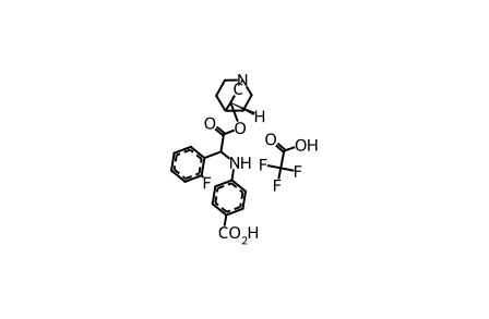 O=C(O)C(F)(F)F.O=C(O)c1ccc(NC(C(=O)O[C@H]2CN3CCC2CC3)c2ccccc2F)cc1